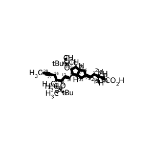 [2H]C([2H])(C/C=C1\C[C@H]2C[C@@H](O[Si](C)(C)C(C)(C)C)[C@H](/C=C/[C@@H](O[Si](C)(C)C(C)(C)C)C(C)CC#CC)[C@H]2C1)C([2H])([2H])C(=O)O